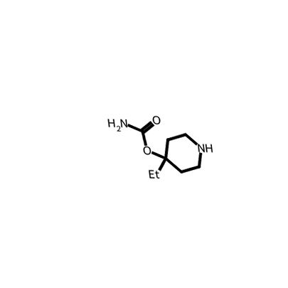 CCC1(OC(N)=O)CCNCC1